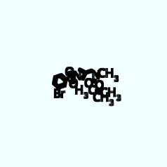 CN(CC1CN(S(=O)(=O)c2cccc(Br)c2)C1)C(=O)OC(C)(C)C